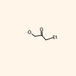 CCCC(=O)C[O]